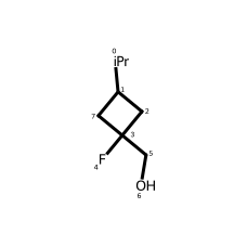 CC(C)C1CC(F)(CO)C1